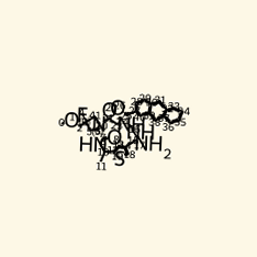 COC[C@@]1(F)C[C@@H](C(=O)NC(C)c2cc(C(=N)N)cs2)N(C(=O)CNC(=O)c2ccc3cc4ccccc4cc3c2)C1